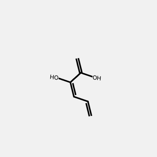 C=C/C=C(/O)C(=C)O